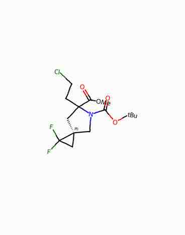 COC(=O)C1(CCCl)C[C@]2(CN1C(=O)OC(C)(C)C)CC2(F)F